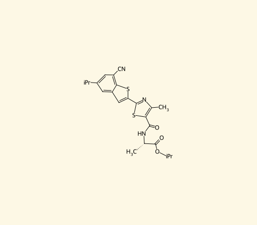 Cc1nc(-c2cc3cc(C(C)C)cc(C#N)c3s2)sc1C(=O)N[C@@H](C)C(=O)OC(C)C